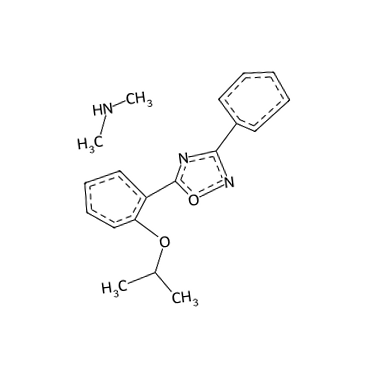 CC(C)Oc1ccccc1-c1nc(-c2ccccc2)no1.CNC